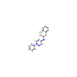 O=C(Cc1ccccc1Cl)N=c1ccn(-c2ccccc2)nc1